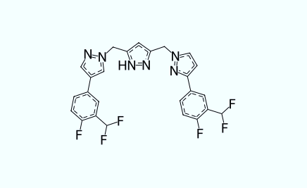 Fc1ccc(-c2cnn(Cc3cc(Cn4ccc(-c5ccc(F)c(C(F)F)c5)n4)n[nH]3)c2)cc1C(F)F